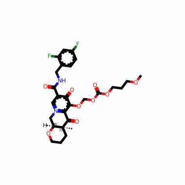 COCCCOC(=O)OCOc1c2n(cc(C(=O)NCc3ccc(F)cc3F)c1=O)C[C@@H]1OCCC[C@]1(C)C2=O